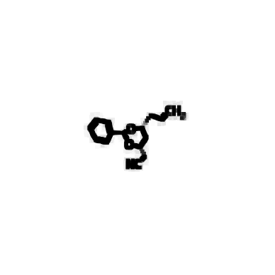 C=CC[C@@H]1C[C@H](CC#N)O[C@@H](c2ccccc2)O1